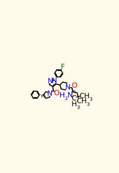 CC(C)(C)C[C@@H](N)C(=O)N1CCC(c2c(C(=O)N3CC[C@H](c4ccccc4)C3)cnn2-c2ccc(F)cc2)CC1